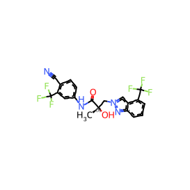 C[C@](O)(Cn1cc2c(C(F)(F)F)cccc2n1)C(=O)Nc1ccc(C#N)c(C(F)(F)F)c1